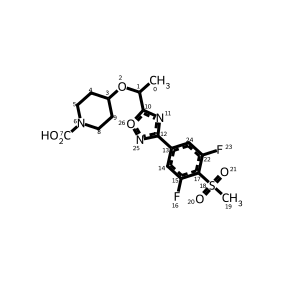 CC(OC1CCN(C(=O)O)CC1)c1nc(-c2cc(F)c(S(C)(=O)=O)c(F)c2)no1